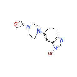 Brn1cnc2ccc(N3CCN(C4COC4)CC3)cc21